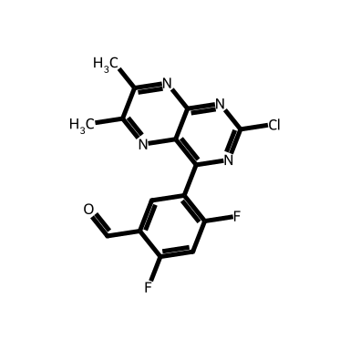 Cc1nc2nc(Cl)nc(-c3cc(C=O)c(F)cc3F)c2nc1C